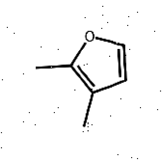 [C]c1ccoc1C